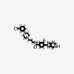 O=C(NCCCN1CCN(c2cccc(Cl)c2)CC1)c1ccc(-c2nc3c[nH]cnc-3n2)c(F)c1